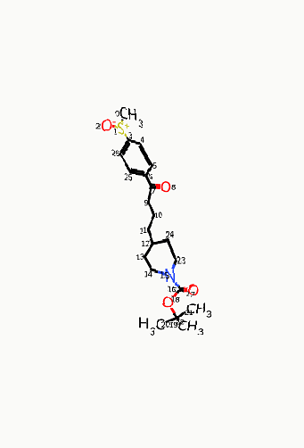 C[S+]([O-])c1ccc(C(=O)CCCC2CCN(C(=O)OC(C)(C)C)CC2)cc1